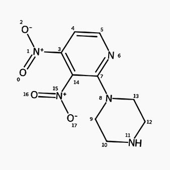 O=[N+]([O-])c1ccnc(N2CCNCC2)c1[N+](=O)[O-]